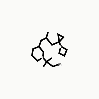 CC(C)CC(C)(C)N1CCCC(CC(C)CC2(N3CCC3)CC2)C1